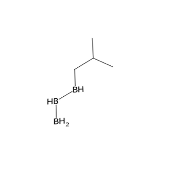 BBBCC(C)C